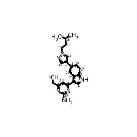 CCc1cc(-c2c[nH]c3ncc(-c4cnn(CCC(C)C)c4)cc23)nc(N)n1